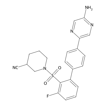 N#CC1CCCN(S(=O)(=O)c2c(F)cccc2-c2ccc(-c3cnc(N)cn3)cc2)C1